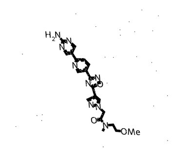 COCCN(C)C(=O)Cn1cc(-c2nc(-c3ccc(-c4cnc(N)nc4)nc3)no2)cn1